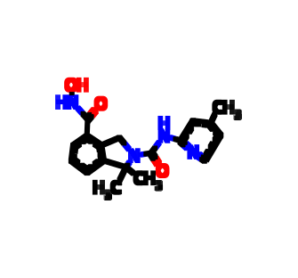 Cc1ccnc(NC(=O)N2Cc3c(C(=O)NO)cccc3C2(C)C)c1